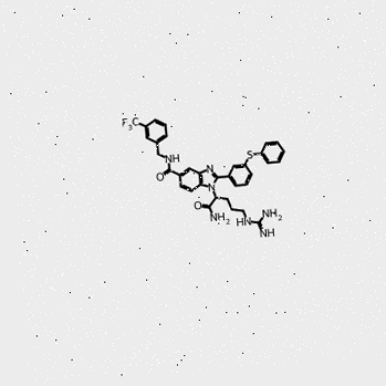 N=C(N)NCCCC(C(N)=O)n1c(-c2cccc(Sc3ccccc3)c2)nc2cc(C(=O)NCc3cccc(C(F)(F)F)c3)ccc21